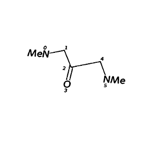 CNCC(=O)CNC